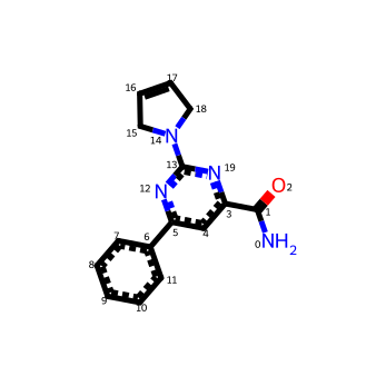 NC(=O)c1cc(-c2ccccc2)nc(N2CC=CC2)n1